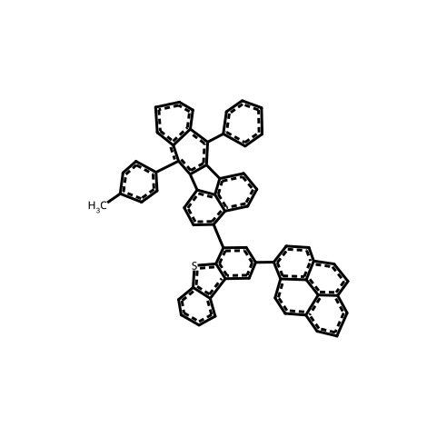 Cc1ccc(-c2c3c(c(-c4ccccc4)c4ccccc24)-c2cccc4c(-c5cc(-c6ccc7ccc8cccc9ccc6c7c89)cc6c5sc5ccccc56)ccc-3c24)cc1